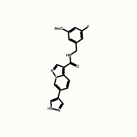 COc1cc(F)cc(CNC(=O)c2cnn3cc(-c4cn[nH]c4)ccc23)c1